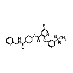 CS(=O)(=O)c1cccc(Oc2ncc(F)cc2C(=O)NC2CCC(C(=O)NCc3ccccn3)CC2)c1